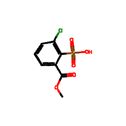 COC(=O)c1cccc(Cl)c1S(=O)(=O)O